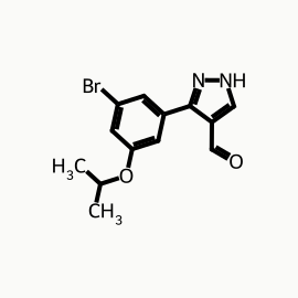 CC(C)Oc1cc(Br)cc(-c2n[nH]cc2C=O)c1